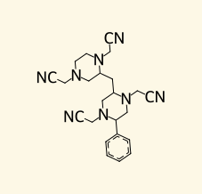 N#CCN1CCN(CC#N)C(CC2CN(CC#N)C(c3ccccc3)CN2CC#N)C1